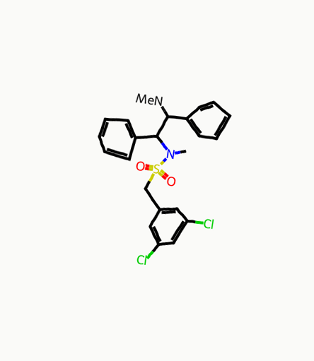 CNC(c1ccccc1)C(c1ccccc1)N(C)S(=O)(=O)Cc1cc(Cl)cc(Cl)c1